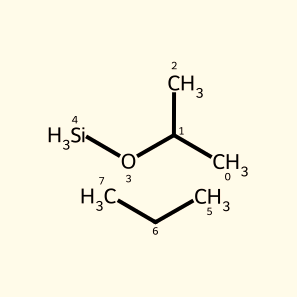 CC(C)O[SiH3].CCC